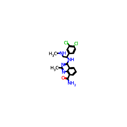 CNCC(Nc1nc(C)nc2c(C(N)=O)cccc12)c1ccc(Cl)c(Cl)c1